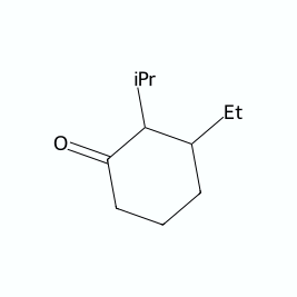 CCC1CCCC(=O)C1C(C)C